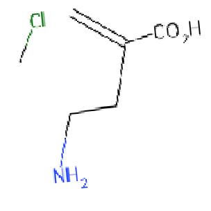 C=C(CCN)C(=O)O.CCl